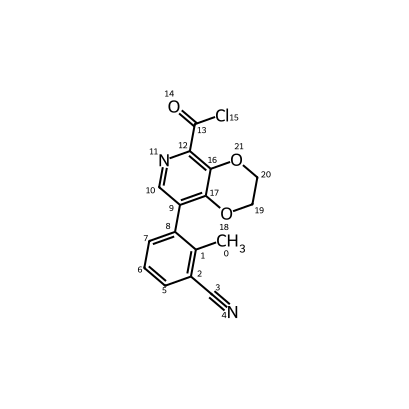 Cc1c(C#N)cccc1-c1cnc(C(=O)Cl)c2c1OCCO2